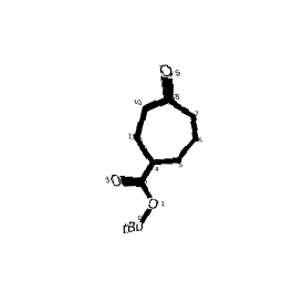 CC(C)(C)OC(=O)C1CCCC(=O)CC1